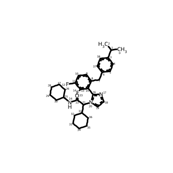 CC(C)c1ccc(Cc2ccc(F)c(F)c2-c2nccn2C(C(=O)NC2CCCCC2)C2CCCCC2)cc1